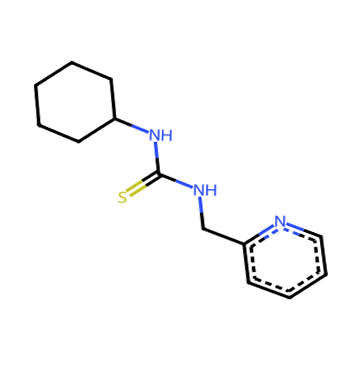 S=C(NCc1ccccn1)NC1CCCCC1